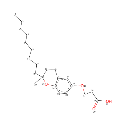 CCCCCCCCCC1(C)CCc2cc(OCCC(=O)O)ccc2O1